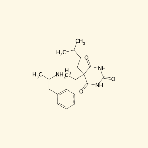 CC(N)Cc1ccccc1.CCC1(CCC(C)C)C(=O)NC(=O)NC1=O